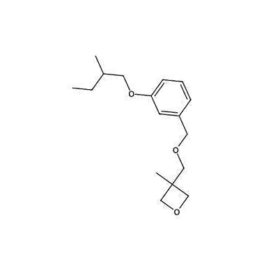 CCC(C)COc1cccc(COCC2(C)COC2)c1